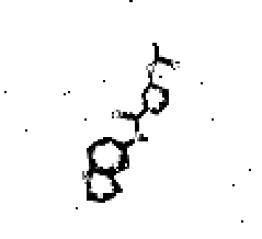 CC(=O)Oc1cccc(C(=O)N(C)c2ccc3ncccc3c2)c1